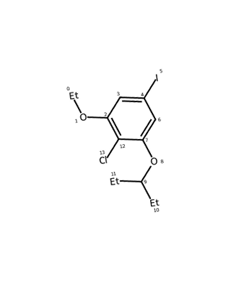 CCOc1cc(I)cc(OC(CC)CC)c1Cl